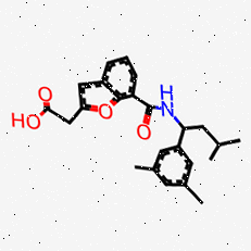 Cc1cc(C)cc(C(CC(C)C)NC(=O)c2cccc3cc(CC(=O)O)oc23)c1